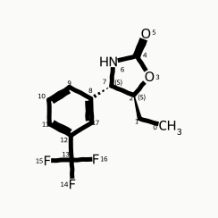 CC[C@@H]1OC(=O)N[C@H]1c1cccc(C(F)(F)F)c1